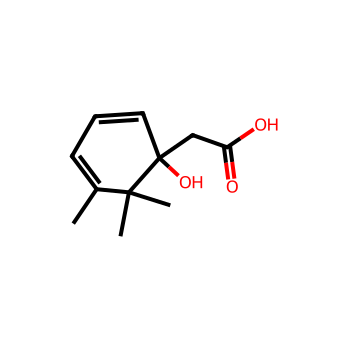 CC1=CC=CC(O)(CC(=O)O)C1(C)C